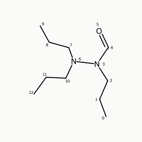 CCCN([C]=O)N(CCC)CCC